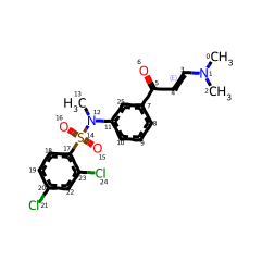 CN(C)/C=C/C(=O)c1cccc(N(C)S(=O)(=O)c2ccc(Cl)cc2Cl)c1